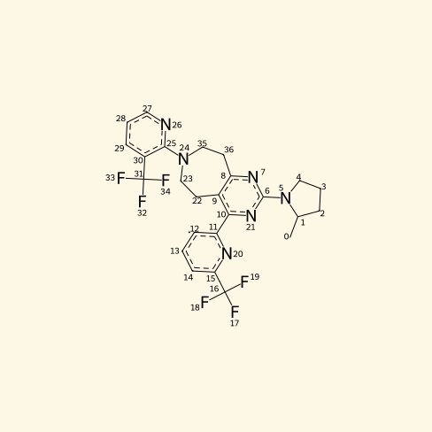 CC1CCCN1c1nc2c(c(-c3[c]ccc(C(F)(F)F)n3)n1)CCN(c1ncccc1C(F)(F)F)CC2